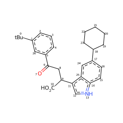 CC(C)(C)c1cccc(C(=O)CC(C(=O)O)c2c[nH]c3ccc(C4CCCCC4)cc23)c1